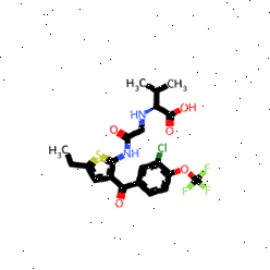 CCc1cc(C(=O)c2ccc(OC(F)(F)F)c(Cl)c2)c(NC(=O)CN[C@H](C(=O)O)C(C)C)s1